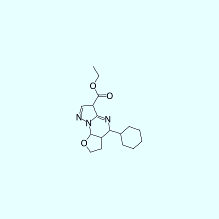 CCOC(=O)C1C=NN2C1=NC(C1CCCCC1)C1CCOC12